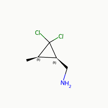 C[C@@H]1[C@H](CN)C1(Cl)Cl